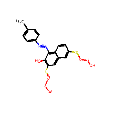 Cc1ccc(/N=N/c2c(O)c(SOOO)cc3cc(SOOO)ccc23)cc1